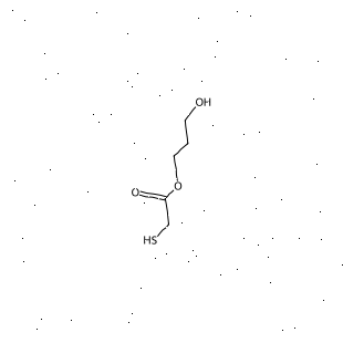 O=C(CS)OCCCO